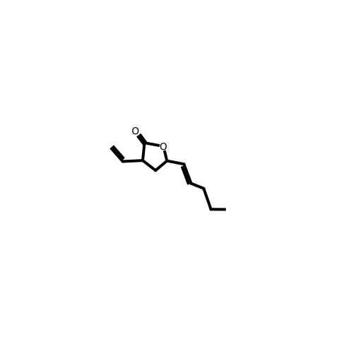 C=CC1CC(C=CCCC)OC1=O